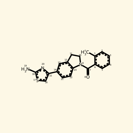 Cc1ccccc1C(=O)N1CCc2cc(-c3csc(N)n3)ccc21